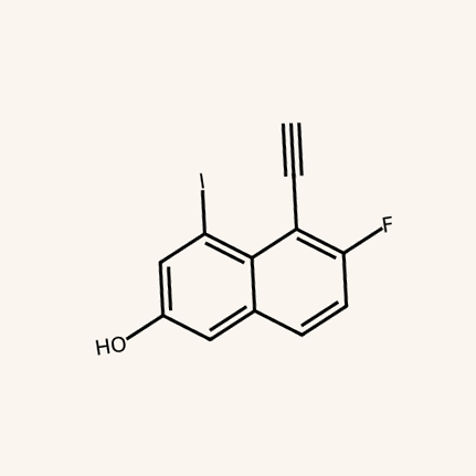 C#Cc1c(F)ccc2cc(O)cc(I)c12